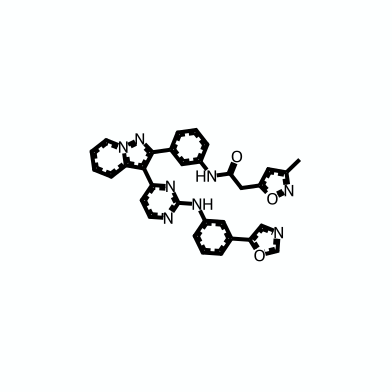 Cc1cc(CC(=O)Nc2cccc(-c3nn4ccccc4c3-c3ccnc(Nc4cccc(-c5cnco5)c4)n3)c2)on1